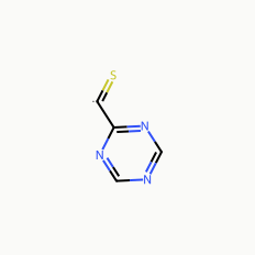 S=[C]c1ncncn1